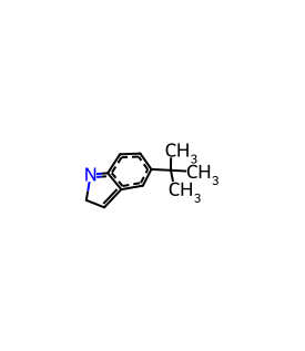 CC(C)(C)c1ccc2c(c1)=CCN=2